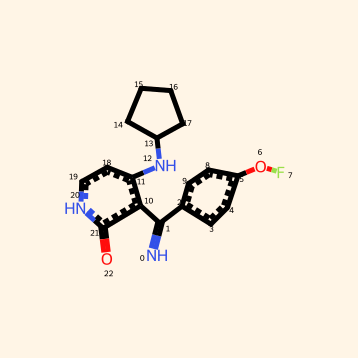 N=C(c1ccc(OF)cc1)c1c(NC2CCCC2)cc[nH]c1=O